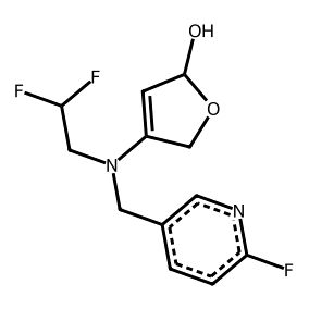 OC1C=C(N(Cc2ccc(F)nc2)CC(F)F)CO1